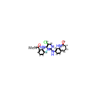 CNC(=O)c1cccc(F)c1Nc1nc(Nc2ccc3c(c2)NC(=O)CCC3)ncc1Cl